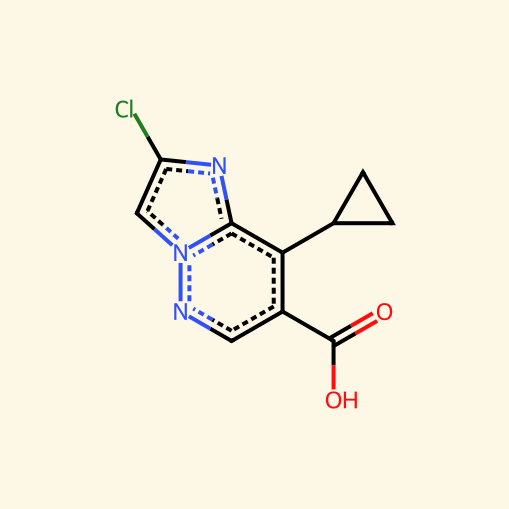 O=C(O)c1cnn2cc(Cl)nc2c1C1CC1